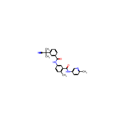 Cc1ccc(NC(=O)c2cc(NC(=O)c3cccc(C(C)(C)C#N)c3)ccc2C)cn1